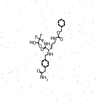 NC(=O)Cc1ccc(CN[C@H](CCCNC(=O)OCc2ccccc2)C(N)=O)cc1.O=C(O)C(F)(F)F